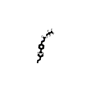 CCCc1cnc(-c2ccc(/C=C/C(=O)OCC(F)(F)C(F)F)cc2)nc1